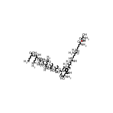 CCCN[C@@H](CCO)C(=O)O.CC[C@H](C)[C@H](N)C(=O)O.CC[C@H](C)[C@H](N)C(=O)O.CC[C@H](C)[C@H](N)C(=O)O.N=C(N)NCCC[C@H](N)C(=O)O.NC(=O)CC[C@H](N)C(=O)O.NCC(=O)O.NCC(=O)O.NCCCC[C@H](N)C(=O)O.NCCCC[C@H](N)C(=O)O.NCCCC[C@H](N)C(=O)O.N[C@@H](CO)C(=O)O.N[C@@H](Cc1c[nH]c2ccccc12)C(=O)O